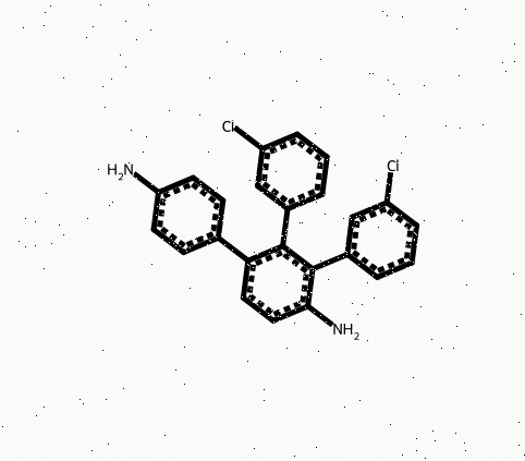 Nc1ccc(-c2ccc(N)c(-c3cccc(Cl)c3)c2-c2cccc(Cl)c2)cc1